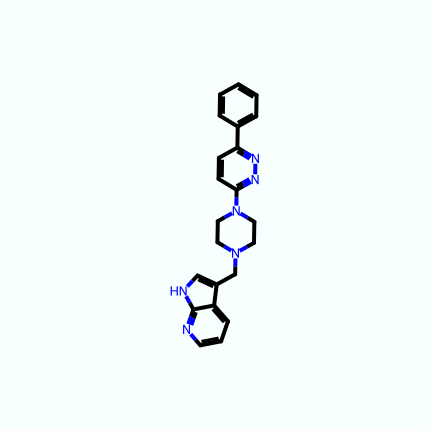 c1ccc(-c2ccc(N3CCN(Cc4c[nH]c5ncccc45)CC3)nn2)cc1